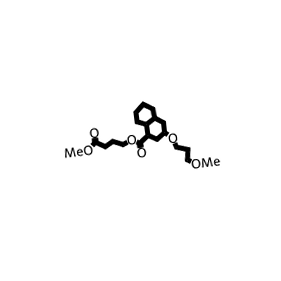 COCCCOC1CC2CCCCC2C(C(=O)OCCCC(=O)OC)C1